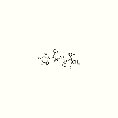 C/C(O)=C(C)/N=N/C(=O)c1ccco1